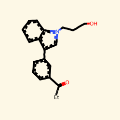 CCC(=O)c1cccc(-c2cn(CCCO)c3ccccc23)c1